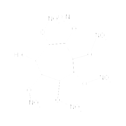 CC1C(O[N+](=O)[O-])C(O[N+](=O)[O-])C(O[N+](=O)[O-])C(O[N+](=O)[O-])C(O[N+](=O)[O-])C1O[N+](=O)[O-]